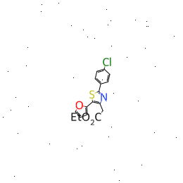 CCOC(=O)Cc1nc(-c2ccc(Cl)cc2)sc1-c1ccco1